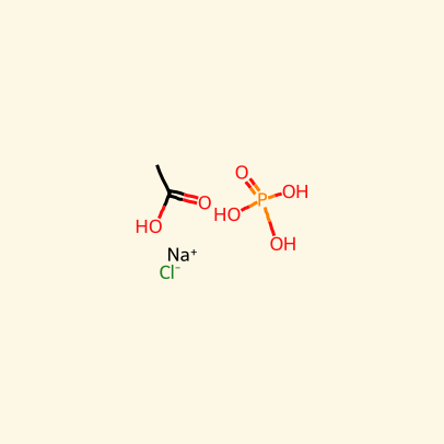 CC(=O)O.O=P(O)(O)O.[Cl-].[Na+]